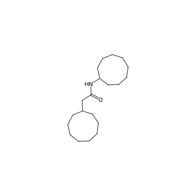 O=C(CC1CCCCCCCC1)NC1CCCCCCCC1